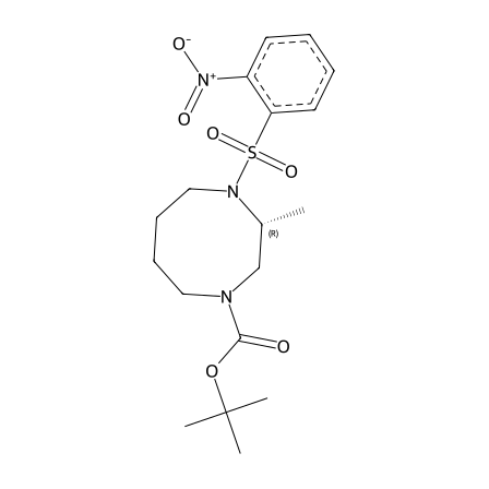 C[C@@H]1CN(C(=O)OC(C)(C)C)CCCCN1S(=O)(=O)c1ccccc1[N+](=O)[O-]